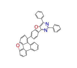 c1ccc(-c2nc(-c3ccccc3)c3oc4cc(-c5ccc6oc7cccc8c9ccccc9c5c6c78)ccc4c3n2)cc1